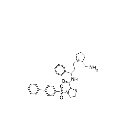 NC[C@H]1CCCN1CCC(NC(=O)C1SCCN1S(=O)(=O)c1ccc(-c2ccccc2)cc1)c1ccccc1